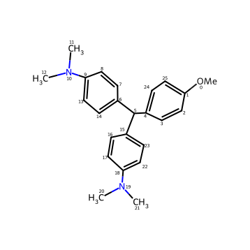 COc1ccc(C(c2ccc(N(C)C)cc2)c2ccc(N(C)C)cc2)cc1